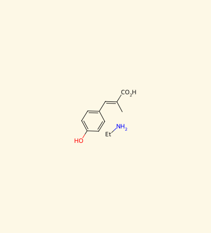 CC(=Cc1ccc(O)cc1)C(=O)O.CCN